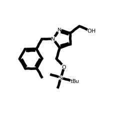 Cc1cccc(Cn2nc(CO)cc2CO[Si](C)(C)C(C)(C)C)c1